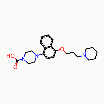 O=C(O)N1CCN(c2ccc(OCCCN3CCCCC3)c3ccccc23)CC1